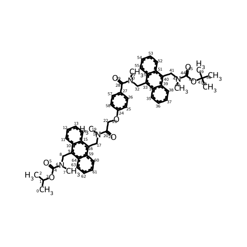 CC(C)OC(=O)N(C)Cc1c2ccccc2c(CN(C)C(=O)COc2ccc(C(=O)N(C)Cc3c4ccccc4c(CN(C)C(=O)OC(C)(C)C)c4ccccc34)cc2)c2ccccc12